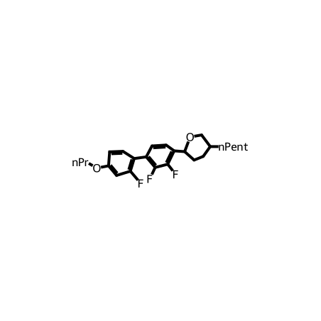 CCCCCC1CCC(c2ccc(-c3ccc(OCCC)cc3F)c(F)c2F)OC1